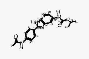 CC(=O)Nc1ccc(-c2nc3cc(NC(=O)OC(C)C)cnc3[nH]2)cc1